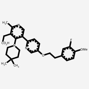 COc1ccc(CCOc2ccc(-c3cnc(C)c(CC(=O)O)c3N3CCC(C)(C)CC3)nc2)cc1F